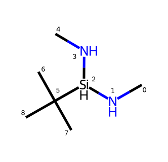 CN[SiH](NC)C(C)(C)C